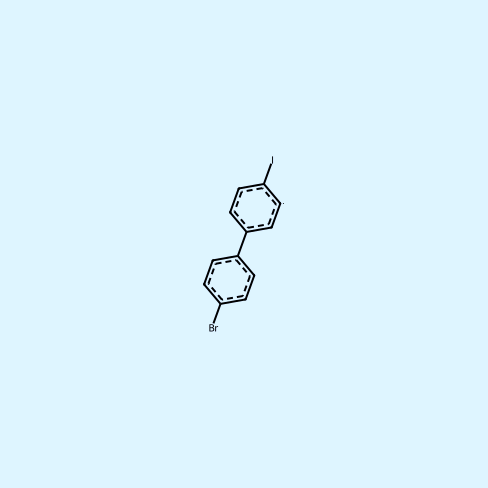 Brc1ccc(-c2c[c]c(I)cc2)cc1